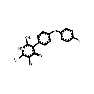 Cc1[nH]c(C)c(-c2ccc(Sc3ccc(Cl)cc3)cc2)c(=O)c1Br